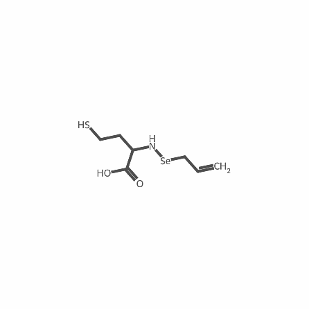 C=CC[Se]NC(CCS)C(=O)O